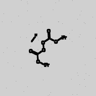 CC(C)OC(=O)OOC(=O)OC(C)C.CF